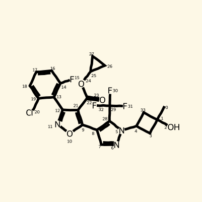 CC1(O)CC(n2ncc(-c3onc(-c4c(F)cccc4Cl)c3C(=O)OC3CC3)c2C(F)(F)F)C1